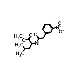 COC(=O)C(CC(C)C)NC(=O)Cc1cccc([N+](=O)[O-])c1